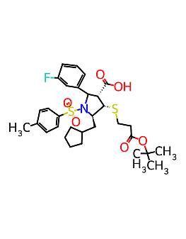 Cc1ccc(S(=O)(=O)N2C(c3cccc(F)c3)[C@H](C(=O)O)[C@H](SCCC(=O)OC(C)(C)C)[C@H]2CC2CCCC2)cc1